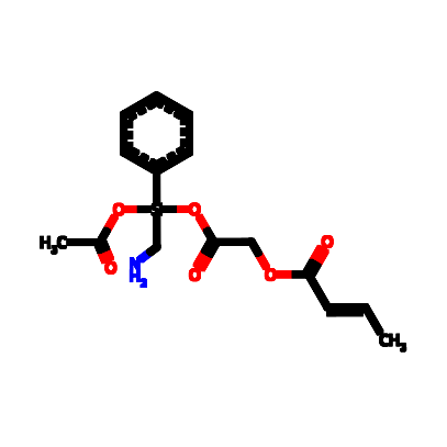 CC=CC(=O)OCC(=O)O[Si](CN)(OC(C)=O)c1ccccc1